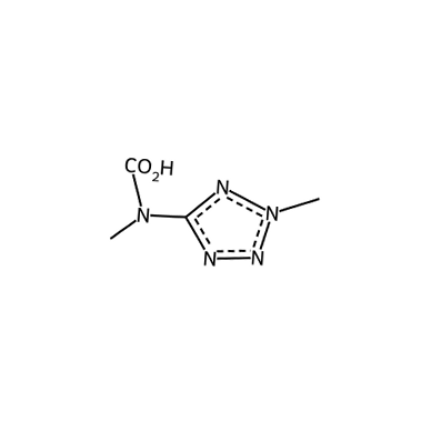 CN(C(=O)O)c1nnn(C)n1